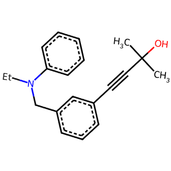 CCN(Cc1cccc(C#CC(C)(C)O)c1)c1ccccc1